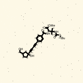 COC(=O)[C@@H](NC(=O)c1ccc(C#CC#CC2(O)CCC(CO)C2)cc1)C(C)(C)NC(=O)OC(C)(C)C